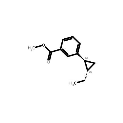 CC[C@H]1C[C@@H]1c1cccc(C(=O)OC)c1